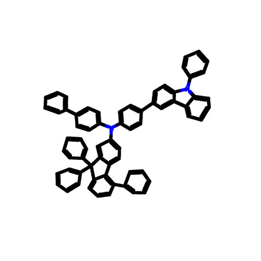 c1ccc(-c2ccc(N(c3ccc(-c4ccc5c(c4)c4ccccc4n5-c4ccccc4)cc3)c3ccc4c(c3)C(c3ccccc3)(c3ccccc3)c3cccc(-c5ccccc5)c3-4)cc2)cc1